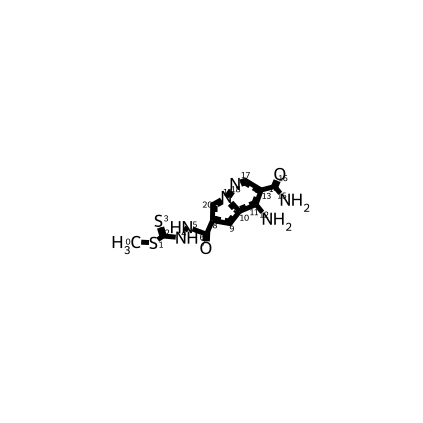 CSC(=S)NNC(=O)c1cc2c(N)c(C(N)=O)cnn2c1